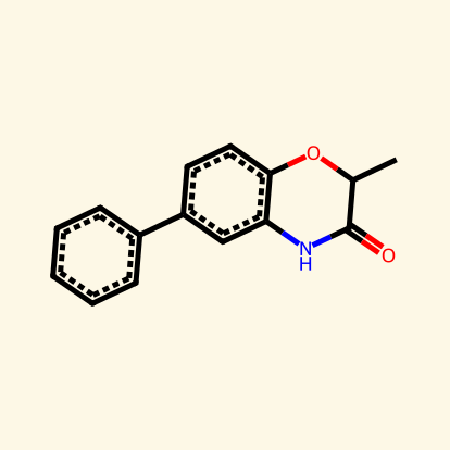 CC1Oc2ccc(-c3ccccc3)cc2NC1=O